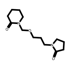 O=C1CCCN1CCCOCN1CCCCC1=O